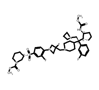 COC(=O)N[C@H]1CCC[C@@H]1[C@](CN1CCC1)(c1cccc(F)c1)C1CCN(CC2(F)CN(c3ccc(S(=O)(=O)[C@H]4CCCN(C(=O)OC)C4)cc3F)C2)CC1